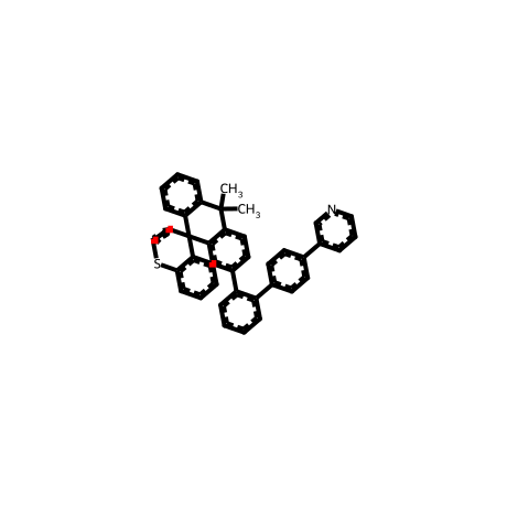 CC1(C)c2ccccc2C2(c3ccccc3Sc3ccccc32)c2cc(-c3ccccc3-c3ccc(-c4cccnc4)cc3)ccc21